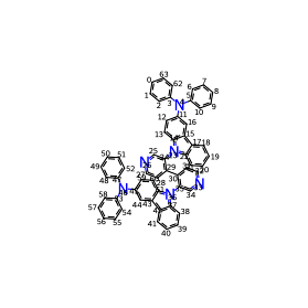 c1ccc(N(c2ccccc2)c2ccc3c(c2)c2ccccc2n3-c2cnccc2-c2ccncc2-n2c3ccccc3c3cc(N(c4ccccc4)c4ccccc4)ccc32)cc1